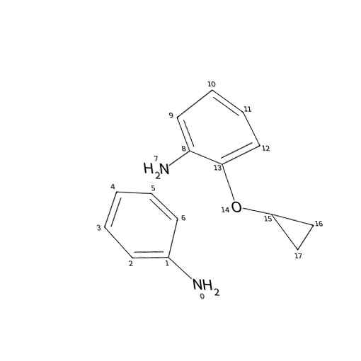 Nc1ccccc1.Nc1ccccc1OC1CC1